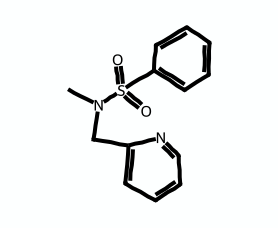 CN(Cc1ccccn1)S(=O)(=O)c1ccccc1